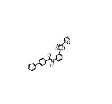 O=C(Nc1cccc(-c2nnc(-c3ccco3)o2)c1)c1ccc(-c2ccccc2)cc1